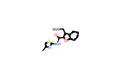 CSCc1c(C(=O)Nc2nc(C)cs2)oc2ccccc12